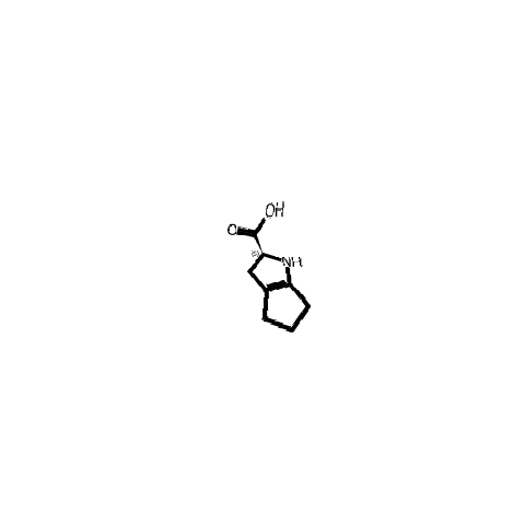 O=C(O)[C@@H]1CC2=C(CCC2)N1